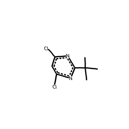 CC(C)(C)c1nc(Cl)cc(Cl)n1